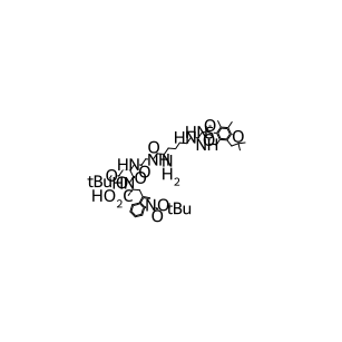 Cc1c(C)c(S(=O)(=O)NC(=N)NCCCC[C@H](N)C(=O)NCC(=O)N[C@@H](CC(=O)OC(C)(C)C)C(=O)N[C@@H](Cc2cn(C(=O)OC(C)(C)C)c3ccccc23)C(=O)O)c(C)c2c1OC(C)(C)C2